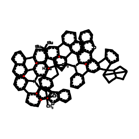 CC(C)(C)c1cc(-c2cccc3cccc(-c4ccccc4N(c4ccc5oc6ccccc6c5c4)c4ccccc4-c4cccc5c4-c4ccc(CC(C)(C)c6cc(-c7cccc8cccc(-c9ccccc9N(c9ccc%10oc%11ccccc%11c%10c9)c9ccccc9-c9ccc%10c(c9)C9(c%11ccccc%11-%10)C%10CC%11CC%10CC%119)c78)cc(C(C)(C)C)c6)cc4C5(C)C)c23)cc(C(C)(C)C)c1